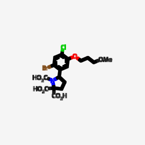 COCCCOc1cc(C2CCC(C(=O)O)(C(=O)O)N2C(=O)O)c(Br)cc1Cl